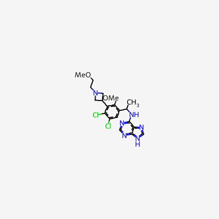 COCCN1CC(c2c(Cl)c(Cl)cc(C(C)Nc3ncnc4[nH]cnc34)c2OC)C1